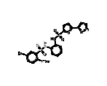 COc1ccc(Br)cc1S(=O)(=O)Nc1ccccc1NS(=O)(=O)c1ccc(-c2ccon2)s1